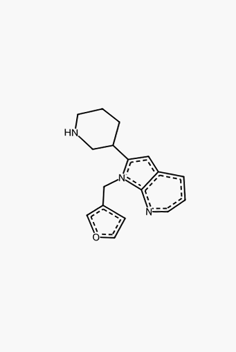 c1cnc2c(c1)cc(C1CCCNC1)n2Cc1ccoc1